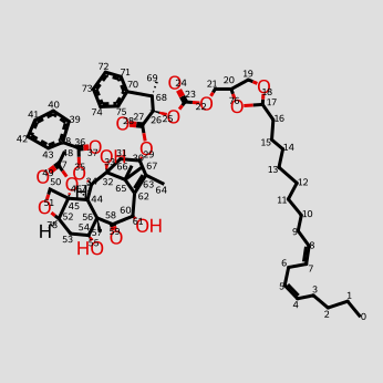 CCCC/C=C\C/C=C\CCCCCCCCC1OCC(COC(=O)O[C@@H](C(=O)O[C@H]2C[C@@]3(O)[C@@H](OC(=O)c4ccccc4)[C@@H]4[C@]5(OC(C)=O)CO[C@@H]5C[C@H](O)[C@@]4(C)C(=O)[C@H](O)C(=C2C)C3(C)C)[C@@H](C)c2ccccc2)O1